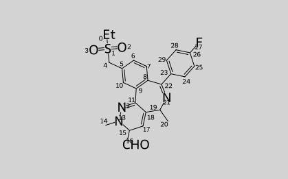 CCS(=O)(=O)Cc1ccc2c(c1)C1=NN(C)C(C=O)C=C1C(C)N=C2c1ccc(F)cc1